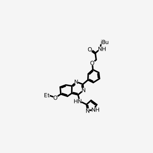 CCOc1ccc2nc(-c3cccc(OCC(=O)NC(C)CC)c3)nc(Nc3cc[nH]n3)c2c1